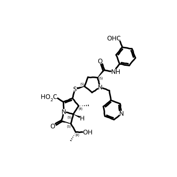 C[C@@H](O)[C@H]1C(=O)N2C(C(=O)O)=C(S[C@H]3C[C@@H](C(=O)Nc4cccc(C=O)c4)N(Cc4cccnc4)C3)[C@H](C)[C@H]12